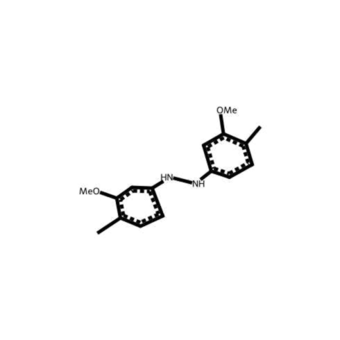 COc1cc(NNc2ccc(C)c(OC)c2)ccc1C